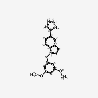 COc1cc(Cn2ccc3cc(-c4nn[nH]n4)ccc32)cc(OC)c1